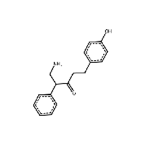 NCC(C(=O)CCc1ccc(O)cc1)c1ccccc1